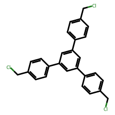 ClCc1ccc(-c2cc(-c3ccc(CCl)cc3)cc(-c3ccc(CCl)cc3)c2)cc1